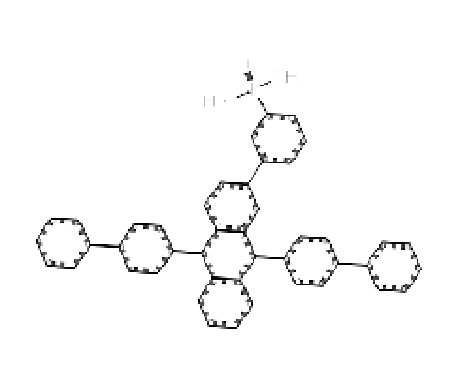 CP(C)(=O)c1cccc(-c2ccc3c(-c4ccc(-c5ccccc5)cc4)c4ccccc4c(-c4ccc(-c5ccccc5)cc4)c3c2)c1